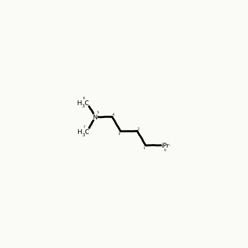 C[C](C)CCCCN(C)C